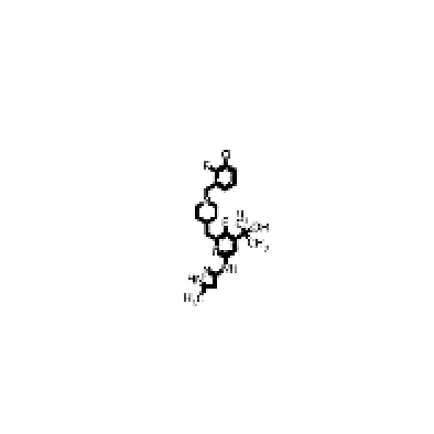 Cc1cc(Nc2cc(C(C)(C)O)c(F)c(CC3CCN(Cc4cccc(Cl)c4F)CC3)n2)n[nH]1